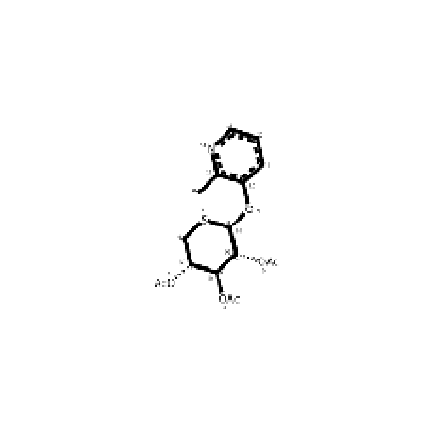 CC(=O)O[C@@H]1[C@@H](OC(C)=O)[C@H](OC(C)=O)CS[C@H]1Oc1cccnc1C